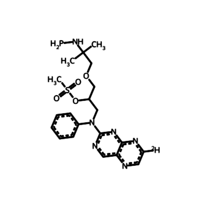 [2H]c1cnc2cnc(N(CC(COCC(C)(C)NP)OS(C)(=O)=O)c3ccccc3)nc2n1